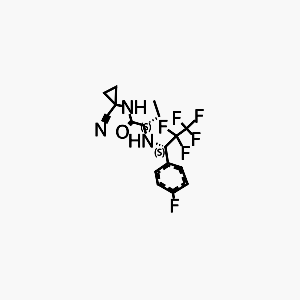 CC[C@H](N[C@@H](c1ccc(F)cc1)C(F)(F)C(F)(F)F)C(=O)NC1(C#N)CC1